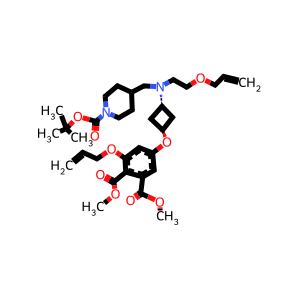 C=CCOCCN(CC1CCN(C(=O)OC(C)(C)C)CC1)[C@H]1C[C@H](Oc2cc(OCC=C)c(C(=O)OC)c(C(=O)OC)c2)C1